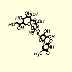 Cc1cn([C@@H]2O[C@H](COP(=O)(S)OP(=O)(O)OC3OCC([C@@H](O)CO)C(O)C(O)C3O)[C@@H](O)[C@H]2O)c(=O)[nH]c1=O